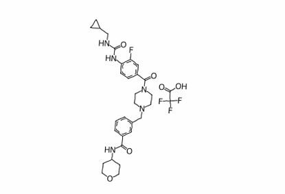 O=C(NCC1CC1)Nc1ccc(C(=O)N2CCN(Cc3cccc(C(=O)NC4CCOCC4)c3)CC2)cc1F.O=C(O)C(F)(F)F